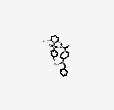 C[C@@H]1CCC[C@H](COC(=O)N2CCC(N(C)Cc3ccccc3)CC2)N1S(=O)(=O)c1ccc(Cl)cc1